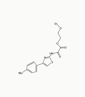 CCOCCOC(=O)C(=O)Nc1nc(-c2ccc(C(C)(C)C)cc2)cs1